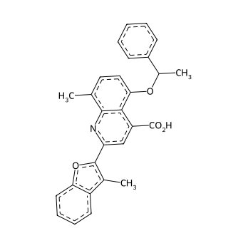 Cc1c(-c2cc(C(=O)O)c3c(OC(C)c4ccccc4)ccc(C)c3n2)oc2ccccc12